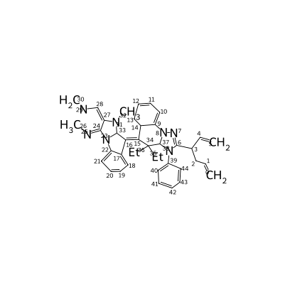 C=CCC(C=C)C1=NN2C3=CC=CCC3/C(=C3/c4ccccc4N4C(=N/C)/C(=C\N=C)N(C)C34)C(CC)(CC)C2N1c1ccccc1